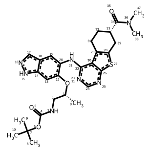 C[C@H](CNC(=O)OC(C)(C)C)Oc1cc2[nH]ncc2cc1Nc1ncnc2sc3c(c12)CC[C@H](C(=O)N(C)C)C3